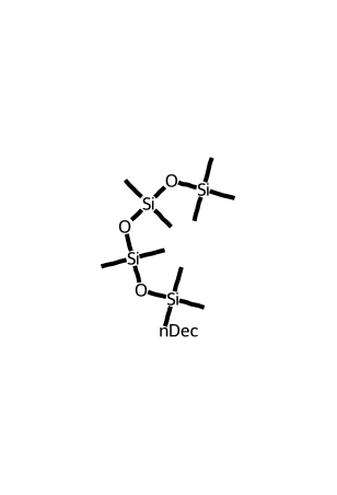 [CH2]CCCCCCCCC[Si](C)(C)O[Si](C)(C)O[Si](C)(C)O[Si](C)(C)C